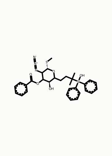 CS[C@@H]1OC(CCC(C)(C)[Si](O)(c2ccccc2)c2ccccc2)[C@@H](O)C(OC(=O)c2ccccc2)C1N=[N+]=[N-]